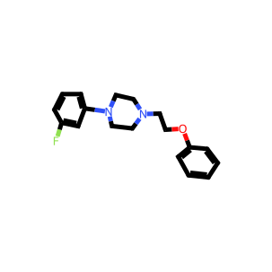 Fc1cccc(N2CCN(CCOc3ccccc3)CC2)c1